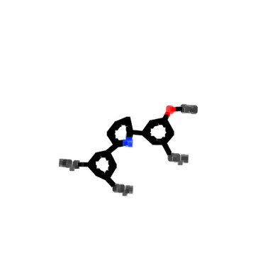 O=COc1cc(C(=O)O)cc(-c2cccc(-c3cc(C(=O)O)cc(C(=O)O)c3)n2)c1